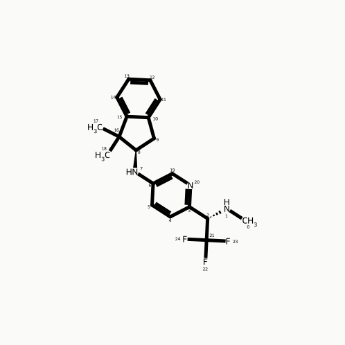 CN[C@@H](c1ccc(N[C@@H]2Cc3ccccc3C2(C)C)cn1)C(F)(F)F